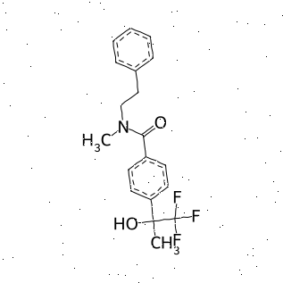 CN(CCc1ccccc1)C(=O)c1ccc(C(C)(O)C(F)(F)F)cc1